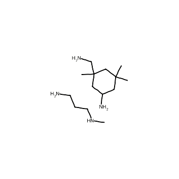 CC1(C)CC(N)CC(C)(CN)C1.CNCCCN